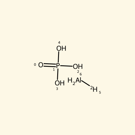 O=P(O)(O)O.[2H][AlH2]